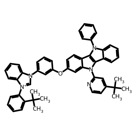 CC(C)(C)c1ccnc(-n2c3cc(Oc4cccc(-n5c[n+](-c6ccccc6C(C)(C)C)c6ccccc65)c4)ccc3c3c2c2ccccc2n3-c2ccccc2)c1